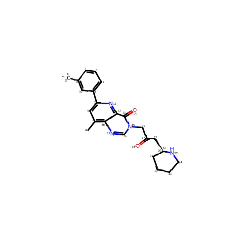 Cc1cc(-c2cccc(C(F)(F)F)c2)nc2c(=O)n(CC(=O)C[C@@H]3CCCCN3)cnc12